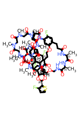 C[C@H](NC(=O)CCc1cc(F)c(N2C(=O)C=CC2=O)cc1OCCCC(=O)N(C)CC(=O)N(C)CC(=O)N(C)CC(=O)N(C)CC(=O)N(C)CC(=O)N(C)CC(=O)N(C)CC(=O)N(C)CC(=O)N(C)CC(=O)N(C)CC(=O)O)C(=O)N[C@@H](C)C(=O)NCOCC(=O)[C@@]12O[C@H](c3sccc3F)O[C@@H]1C[C@H]1[C@@H]3C[C@H](F)C4=CC(=O)C=C[C@]4(C)[C@@]3(F)[C@@H](O)C[C@@]12C